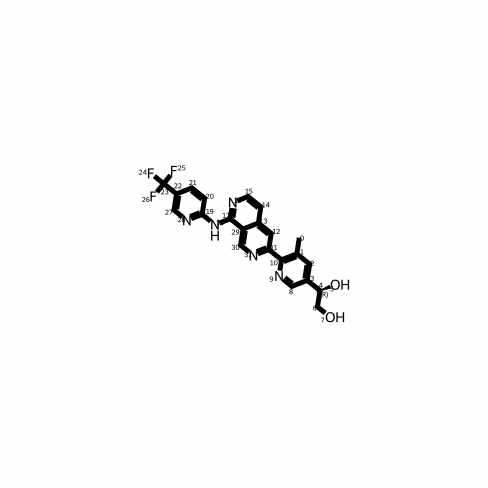 Cc1cc([C@@H](O)CO)cnc1-c1cc2ccnc(Nc3ccc(C(F)(F)F)cn3)c2cn1